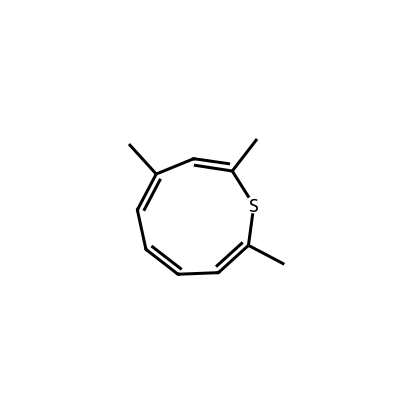 Cc1ccccc(C)sc(C)c1